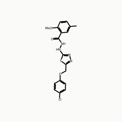 COc1ccc(C)cc1C(=O)NNc1nnc(COc2ccc(Cl)cc2)s1